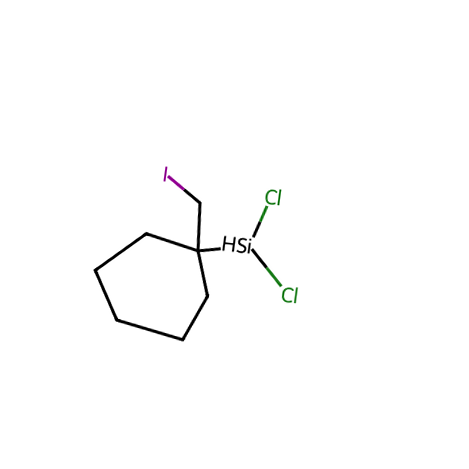 Cl[SiH](Cl)C1(CI)CCCCC1